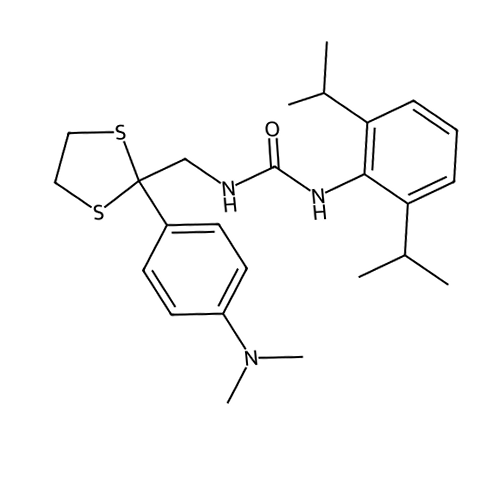 CC(C)c1cccc(C(C)C)c1NC(=O)NCC1(c2ccc(N(C)C)cc2)SCCS1